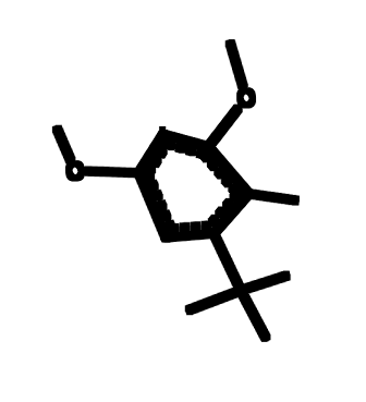 COc1[c]c(OC)c(C)c(C(C)(C)C)c1